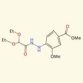 CCOC(OCC)C(=O)NNc1ccc(C(=O)OC)cc1OC